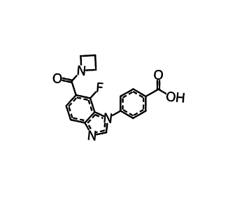 O=C(O)c1ccc(-n2cnc3ccc(C(=O)N4CCC4)c(F)c32)cc1